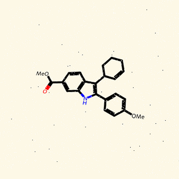 COC(=O)c1ccc2c(C3C=CCCC3)c(-c3ccc(OC)cc3)[nH]c2c1